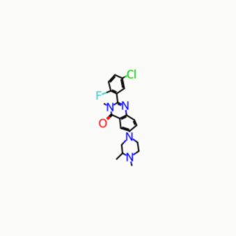 CC1CN(c2ccc3nc(-c4cc(Cl)ccc4F)n(C)c(=O)c3c2)CCN1C